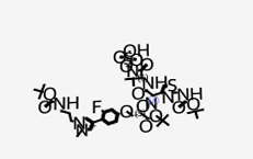 C[n+]1cc(-c2ccc(OC[C@H](O/N=C(\C(=O)N[C@@H]3C(=O)N(OS(=O)(=O)O)C3(C)C)c3csc(NC(=O)OC(C)(C)C)n3)C(=O)OC(C)(C)C)cc2F)cn1CCCNC(=O)OC(C)(C)C